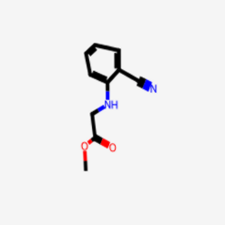 COC(=O)CNc1ccccc1C#N